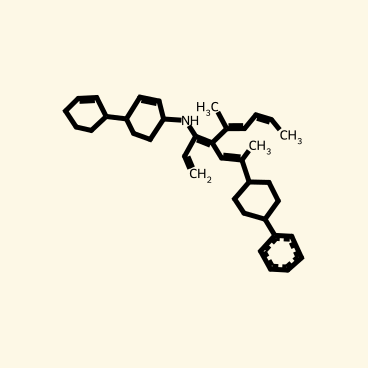 C=C/C(NC1C=CC(C2C=CCCC2)CC1)=C(\C=C(/C)C1CCC(c2ccccc2)CC1)C(/C)=C/C=C\C